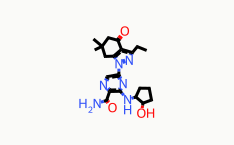 CCc1nn(-c2cnc(C(N)=O)c(NC3CCCC3O)n2)c2c1C(=O)CC(C)(C)C2